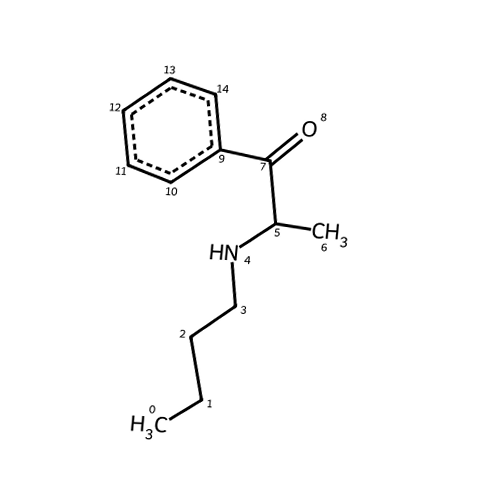 CCCCNC(C)C(=O)c1ccccc1